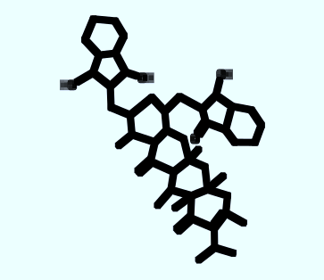 C=C1C2C(C)C(CC3C(O)C4CCCCC4C3O)CC(CC3C(=O)C4CCCCC4C3O)C2CC2(C)CC3(C)CC(C)=C(C(C)C)C(=C)C3(C)C(C)C12